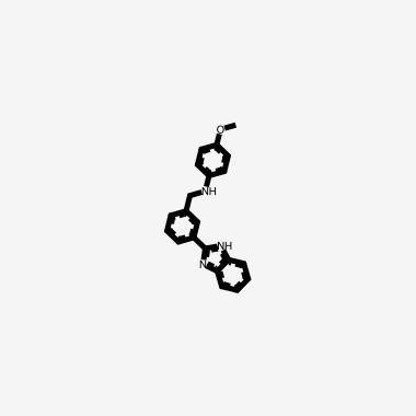 COc1ccc(NCc2cccc(-c3nc4ccccc4[nH]3)c2)cc1